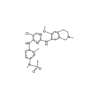 COc1cc2c(cc1Nc1ncc(Cl)c(Nc3ccc(N(C)S(=O)(=O)F)cc3C)n1)CN(C)CC2